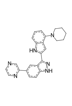 c1cc(N2CCCCC2)c2cc(-c3n[nH]c4ccc(-c5cnccn5)cc34)[nH]c2c1